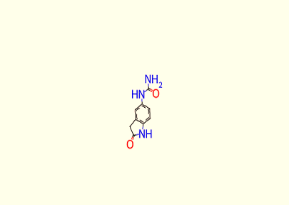 NC(=O)Nc1ccc2c(c1)CC(=O)N2